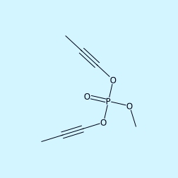 CC#COP(=O)(OC)OC#CC